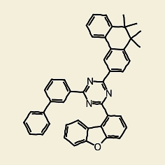 CC1(C)c2ccccc2-c2cc(-c3nc(-c4cccc(-c5ccccc5)c4)nc(-c4cccc5oc6ccccc6c45)n3)ccc2C1(C)C